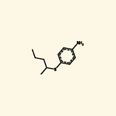 CCCC(C)Sc1ccc(N)cc1